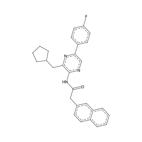 O=C(Cc1ccc2ccccc2c1)Nc1ncc(-c2ccc(F)cc2)nc1CC1CCCC1